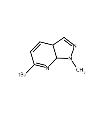 CN1N=CC2C=CC(C(C)(C)C)=NC21